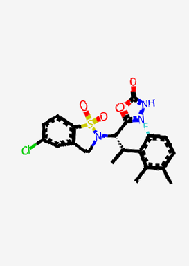 Cc1ccc(F)c(C(C)[C@@H](c2n[nH]c(=O)o2)N2Cc3cc(Cl)ccc3S2(=O)=O)c1C